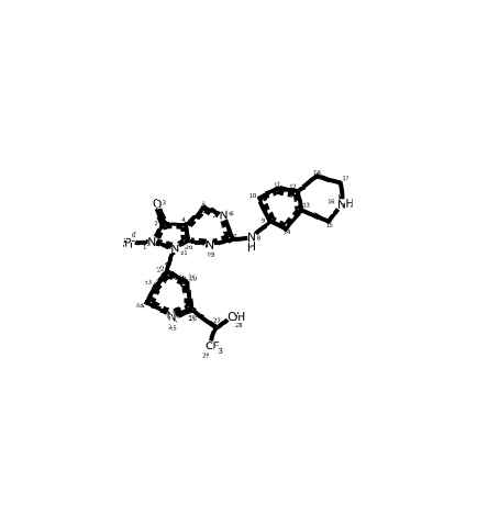 CC(C)n1c(=O)c2cnc(Nc3ccc4c(c3)CNCC4)nc2n1-c1ccnc(C(O)C(F)(F)F)c1